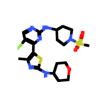 Cc1nc(NC2CCOCC2)sc1-c1nc(NC2CCN(S(C)(=O)=O)CC2)ncc1F